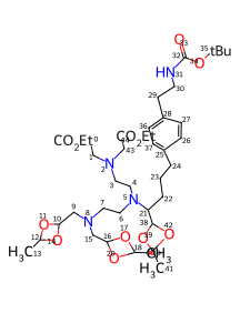 CCOC(=O)CN(CCN(CCN(CC1OC(C)O1)CC1OC(C)O1)C(CCCc1ccc(CCNC(=O)OC(C)(C)C)cc1)C1OC(C)O1)CC(=O)OCC